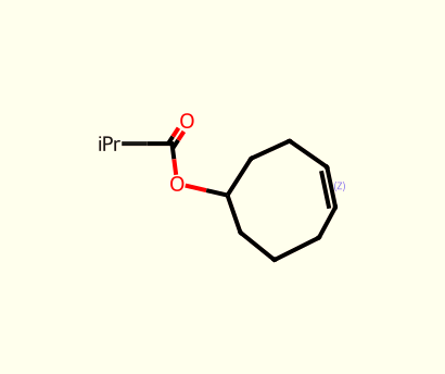 CC(C)C(=O)OC1CC/C=C\CCC1